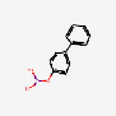 OP(O)Oc1ccc(-c2ccccc2)cc1